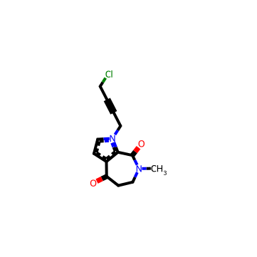 CN1CCC(=O)c2ccn(CC#CCCl)c2C1=O